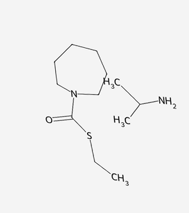 CC(C)N.CCSC(=O)N1CCCCCC1